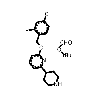 CC(C)(C)OC=O.Fc1cc(Cl)ccc1COc1cccc(C2CCNCC2)n1